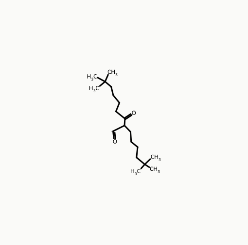 CC(C)(C)CCCCC(=O)C([C]=O)CCCCC(C)(C)C